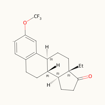 CC[C@]12CC[C@@H]3c4cc(OC(F)(F)F)[c]cc4CC[C@H]3[C@@H]1CCC2=O